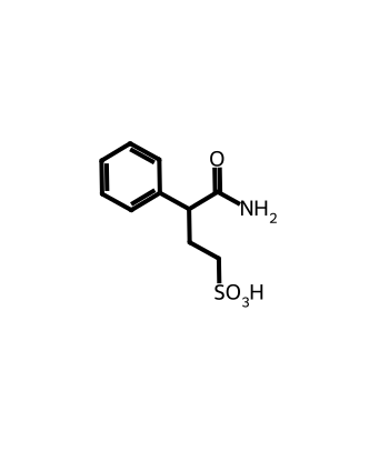 NC(=O)C(CCS(=O)(=O)O)c1ccccc1